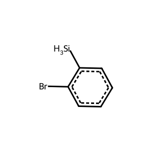 [SiH3]c1ccccc1Br